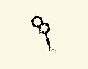 CC#Cc1ccc2ccccc2n1